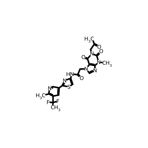 CC(=O)Cn1c(=O)c2c(ncn2CC(=O)Nc2csc(-c3cnc(C)c(C(C)(F)F)c3)n2)n(C)c1=O